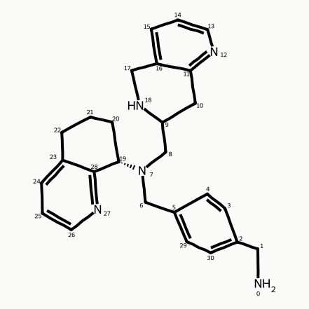 NCc1ccc(CN(CC2Cc3ncccc3CN2)[C@H]2CCCc3cccnc32)cc1